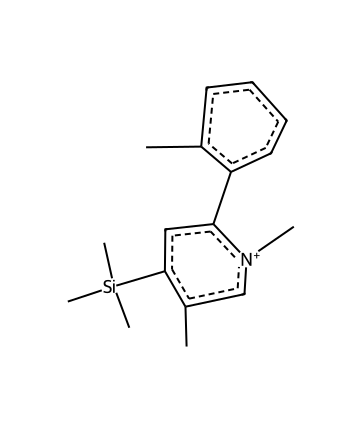 Cc1ccccc1-c1cc([Si](C)(C)C)c(C)c[n+]1C